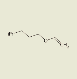 C=COCCCC(C)C